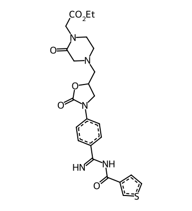 CCOC(=O)CN1CCN(CC2CN(c3ccc(C(=N)NC(=O)c4ccsc4)cc3)C(=O)O2)CC1=O